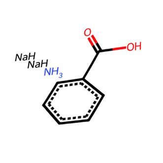 N.O=C(O)c1ccccc1.[NaH].[NaH]